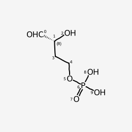 O=C[C@H](O)CCOP(=O)(O)O